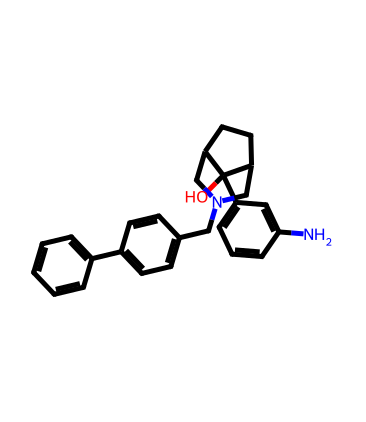 Nc1cccc(C2(O)C3CCC2CN(Cc2ccc(-c4ccccc4)cc2)C3)c1